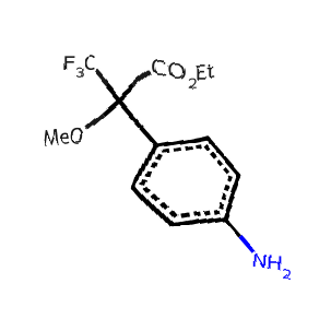 CCOC(=O)C(OC)(c1ccc(N)cc1)C(F)(F)F